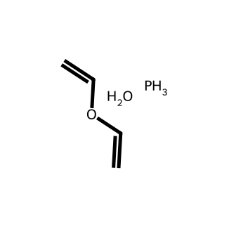 C=COC=C.O.P